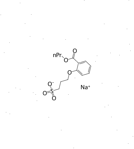 CCCOC(=O)c1ccccc1OCCCS(=O)(=O)[O-].[Na+]